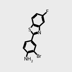 Nc1ccc(-c2nc3cc(F)ccc3s2)cc1Br